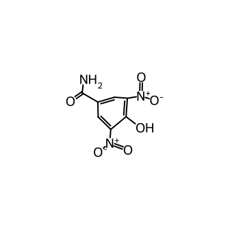 NC(=O)c1cc([N+](=O)[O-])c(O)c([N+](=O)[O-])c1